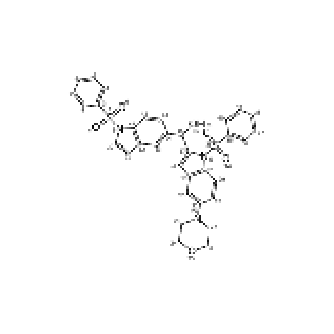 O=S(=O)(c1ccccc1)n1ccc2cc(C(O)c3cc4cc(N5CCOCC5)ccc4n3S(=O)(=O)c3ccccc3)ccc21